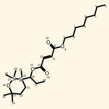 CCCCCCCCOC(=O)C=CC(=O)OC(CC)[Si]1(C)CCC(C)(C)O[Si]1(C)C